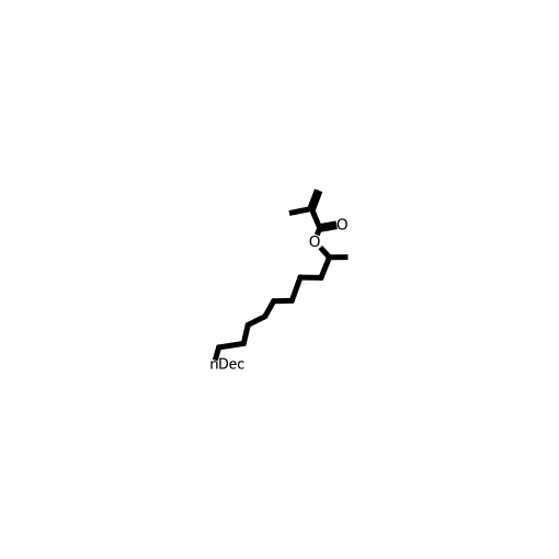 C=C(C)C(=O)OC(C)CCCCCCCCCCCCCCCCCC